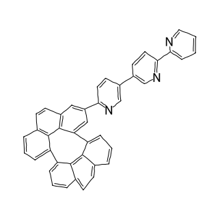 c1ccc(-c2ccc(-c3ccc(-c4cc5ccc6cccc7c8cccc9ccc%10cccc(c(c4)c5c67)c%10c98)nc3)cn2)nc1